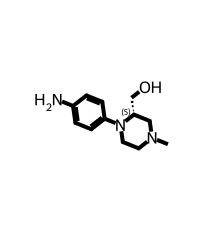 CN1CCN(c2ccc(N)cc2)[C@H](CO)C1